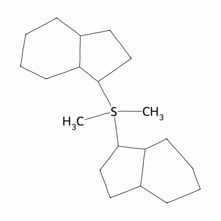 CS(C)(C1CCC2CCCCC21)C1CCC2CCCCC21